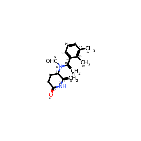 C=C1NC(=O)CCC1N(C=O)C(=C)c1cccc(C)c1C